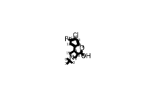 CC(C)(C)N1CC(C(=O)O)C(c2ccc(Cl)c(F)c2)C1